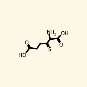 NC(C(=O)O)C(=S)CCC(=O)O